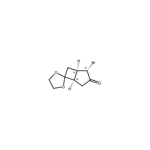 O=C1C[C@@H]2[C@@H](CC23OCCO3)[C@@H]1Br